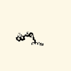 COC(=O)CC=CN1CCC(F)(CCc2ccc3c(n2)NCCC3)C1